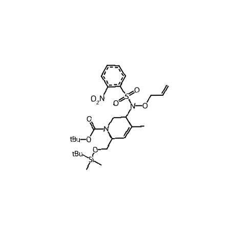 C=CCON(C1CN(C(=O)OC(C)(C)C)C(CO[Si](C)(C)C(C)(C)C)C=C1C)S(=O)(=O)c1ccccc1[N+](=O)[O-]